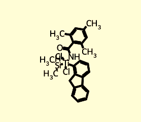 Cc1cc(C)c(C(=O)[NH][Ti]([Cl])([Cl])([c]2cccc3c2Cc2ccccc2-3)[SiH](C)C)c(C)c1